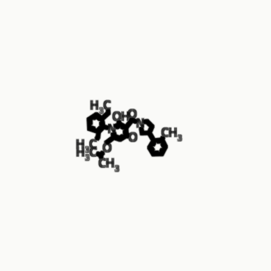 CCc1cccc(CC)c1-n1c(COC(C)C)cc(=O)c(C(=O)N2CCC(c3ccccc3C)C2)c1O